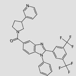 O=C(c1ccc2c(c1)nc(-c1cc(C(F)(F)F)cc(C(F)(F)F)c1)n2-c1ccccc1)N1CCC(c2cccnc2)C1